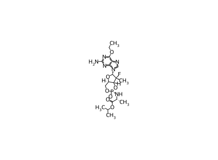 CCOc1nc(N)nc2c1ncn2[C@@H]1O[C@@H]2CO[P@](=O)(N[C@H](C)C(=O)OC(C)C)O[C@H]2[C@@]1(C)F